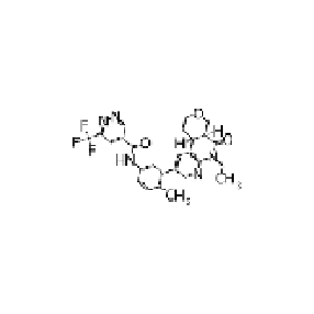 CCN1C(=O)[C@@H]2COCC[C@H]2c2cc(-c3cc(NC(=O)c4cnnc(C(F)(F)F)c4)ccc3C)cnc21